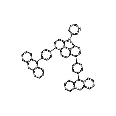 c1cncc(-n2c3ccc(-c4ccc(-c5c6ccccc6cc6ccccc56)cc4)c4ccc5c(-c6ccc(-c7c8ccccc8cc8ccccc78)cc6)ccc2c5c43)c1